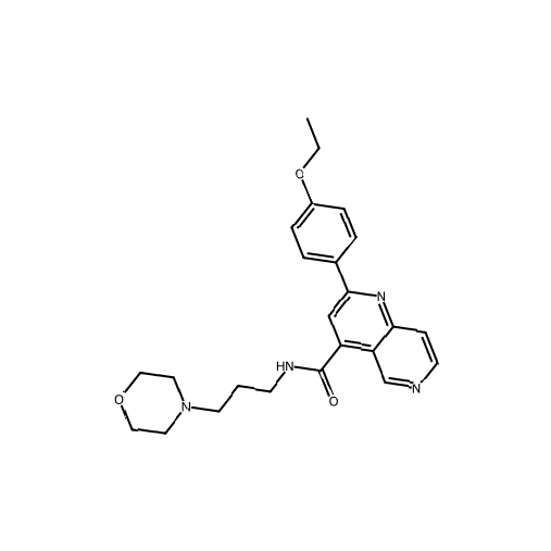 CCOc1ccc(-c2cc(C(=O)NCCCN3CCOCC3)c3cnccc3n2)cc1